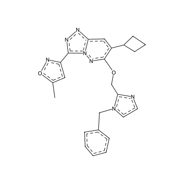 Cc1cc(-c2nnc3cc(C4CCC4)c(OCc4nccn4Cc4ccccc4)nn23)no1